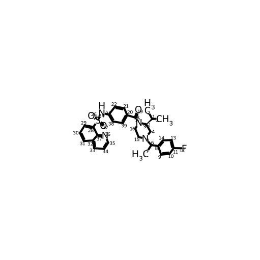 CC(C)[C@H]1CN(C(C)c2ccc(F)cc2)CCN1C(=O)c1ccc(NS(=O)(=O)c2cccc3cccnc23)cc1